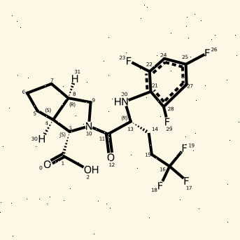 O=C(O)[C@@H]1[C@H]2CCC[C@H]2CN1C(=O)[C@@H](CCC(F)(F)F)Nc1c(F)cc(F)cc1F